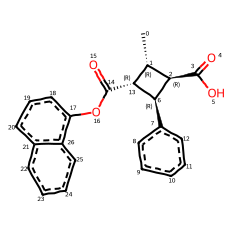 C[C@@H]1[C@@H](C(=O)O)[C@@H](c2ccccc2)[C@@H]1C(=O)Oc1cccc2ccccc12